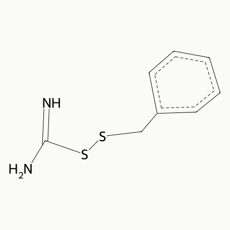 N=C(N)SSCc1ccccc1